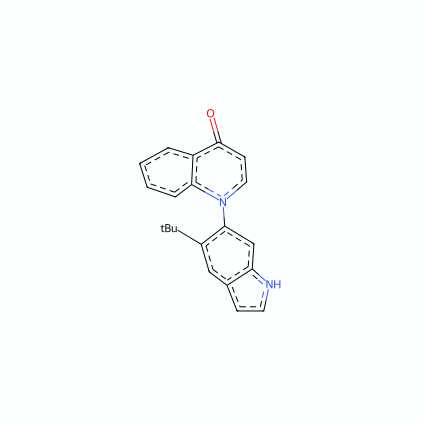 CC(C)(C)c1cc2cc[nH]c2cc1-n1ccc(=O)c2ccccc21